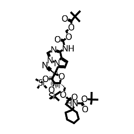 CC(C)(C)OC(=O)NC1(CC(=O)OC[C@H]2O[C@@](C#N)(c3ccc4c(NC(=O)OCOC(=O)C(C)(C)C)ncnn34)[C@H](O[Si](C)(C)C)[C@@H]2O[Si](C)(C)C)CCCCC1